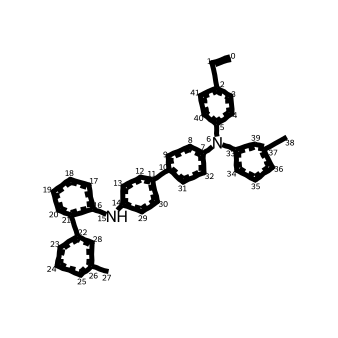 C=Cc1ccc(N(c2ccc(-c3ccc(Nc4ccccc4-c4cccc(C)c4)cc3)cc2)c2cccc(C)c2)cc1